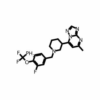 Cc1cc(C2CCCN(Cc3ccc(OC(F)(F)P)c(F)c3)C2)n2ncnc2n1